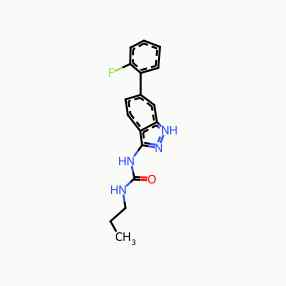 CCCNC(=O)Nc1n[nH]c2cc(-c3ccccc3F)ccc12